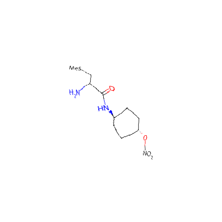 CSCC(N)C(=O)N[C@H]1CC[C@H](O[N+](=O)[O-])CC1